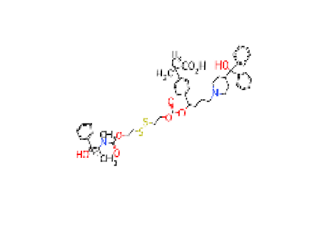 C[C@@H]([C@@H](O)c1ccccc1)N(C)C(=O)OCCSSCCOC(=O)OC(CCCN1CCC(C(O)(c2ccccc2)c2ccccc2)CC1)c1ccc(C(C)(C)C(=O)O)cc1